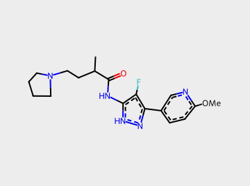 COc1ccc(-c2n[nH]c(NC(=O)C(C)CCN3CCCC3)c2F)cn1